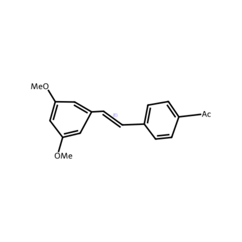 COc1cc(/C=C/c2ccc(C(C)=O)cc2)cc(OC)c1